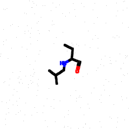 CCC(C=O)NCC(C)C